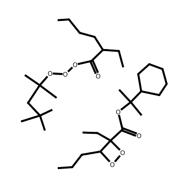 CCCC1OOC1(CC)C(=O)OC(C)(C)C1CCCCC1.CCCCC(CC)C(=O)OOOC(C)(C)CC(C)(C)C